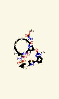 CC(C)n1c(O[C@@H]2C[C@H]3C(=O)N[C@]4(C(=O)NS(=O)(=O)C5(C)CC5)C[C@H]4/C=C\CCCCC[C@H](NC(=O)OC(C)(C)C)C(=O)N3C2)nc2c(-c3nc(C(F)(F)F)cs3)cccc21